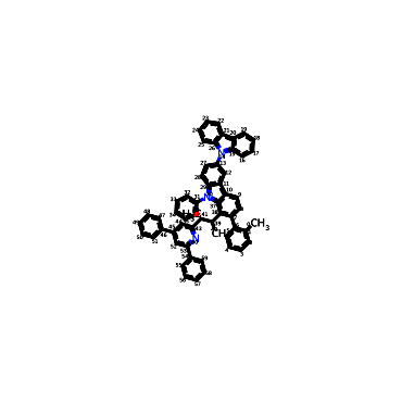 Cc1ccccc1-c1ccc2c3cc(-n4c5ccccc5c5ccccc54)ccc3n(-c3ccccc3)c2c1C(C)C(C)c1cc(-c2ccccc2)cc(-c2ccccc2)n1